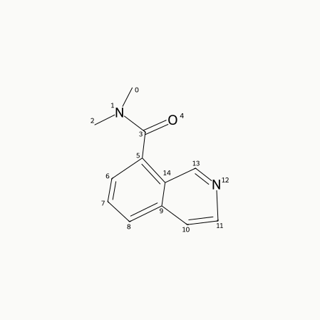 CN(C)C(=O)c1cccc2ccncc12